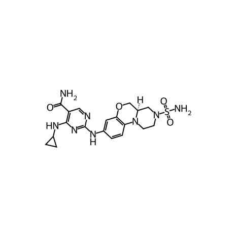 NC(=O)c1cnc(Nc2ccc3c(c2)OC[C@H]2CN(S(N)(=O)=O)CCN32)nc1NC1CC1